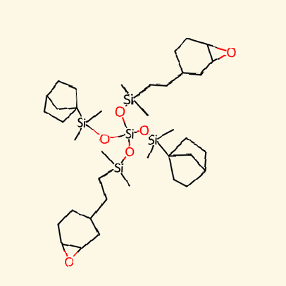 C[Si](C)(CCC1CCC2OC2C1)O[Si](O[Si](C)(C)CCC1CCC2OC2C1)(O[Si](C)(C)C12CCC(CC1)C2)O[Si](C)(C)C12CCC(CC1)C2